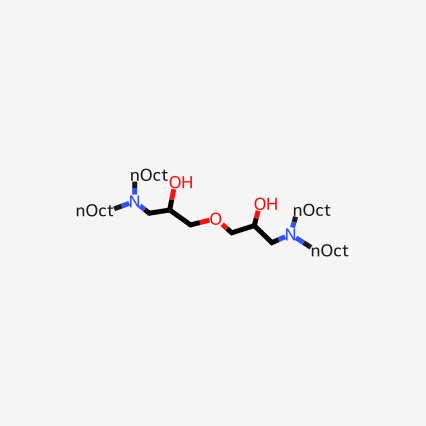 CCCCCCCCN(CCCCCCCC)CC(O)COCC(O)CN(CCCCCCCC)CCCCCCCC